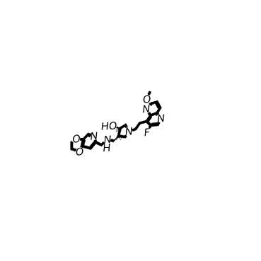 COc1ccc2ncc(F)c(CCN3C[C@@H](CNCc4cc5c(cn4)OCCO5)[C@@H](O)C3)c2n1